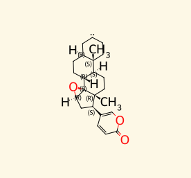 C[C@]12CC[C]C[C@@H]1CC[C@@H]1[C@@H]2CC[C@]2(C)[C@@H](c3ccc(=O)oc3)C[C@H]3O[C@]132